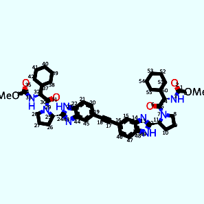 COC(=O)N[C@H](C(=O)N1CCC[C@H]1c1nc2cc(C#Cc3ccc4[nH]c([C@@H]5CCCN5C(=O)[C@@H](NC(=O)OC)C5CCCCC5)nc4c3)ccc2[nH]1)C1CCCCC1